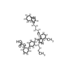 CCCCc1nc2c(C)ccc(OCCCCn3cnc4ccccc43)c2n1Cc1ccc(-c2ccccc2OC(=O)O)cc1